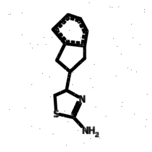 NC1=NC(C2Cc3ccccc3C2)CS1